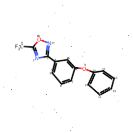 FC(F)(F)c1nc(-c2cc[c]c(Oc3ccccc3)c2)no1